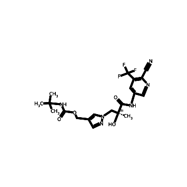 CC(C)(C)NC(=O)OCc1cnn(C[C@](C)(O)C(=O)Nc2cnc(C#N)c(C(F)(F)F)c2)c1